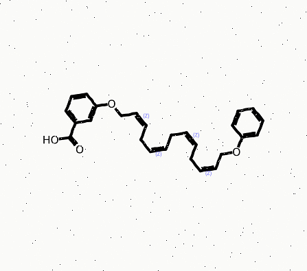 O=C(O)c1cccc(OC/C=C\C/C=C\C/C=C\C/C=C\COc2ccccc2)c1